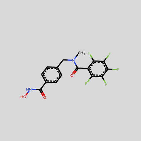 CN(Cc1ccc(C(=O)NO)cc1)C(=O)c1c(F)c(F)c(F)c(F)c1F